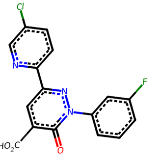 O=C(O)c1cc(-c2ccc(Cl)cn2)nn(-c2cccc(F)c2)c1=O